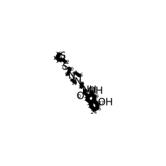 O=C(NCCN1CCN(CCSCc2cccs2)CC1)c1cc2cccc(O)c2cc1O